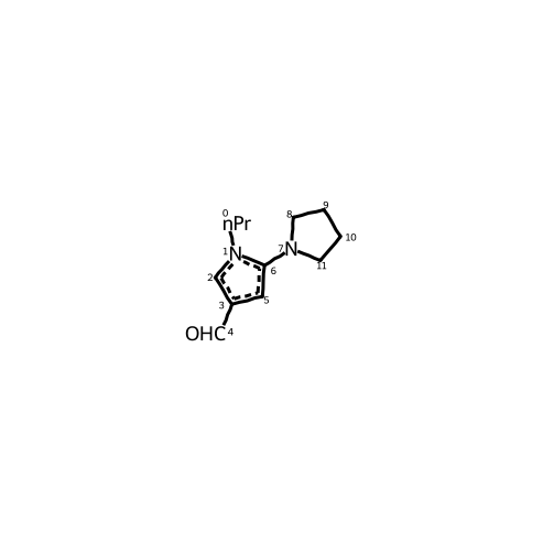 CCCn1cc(C=O)cc1N1CCCC1